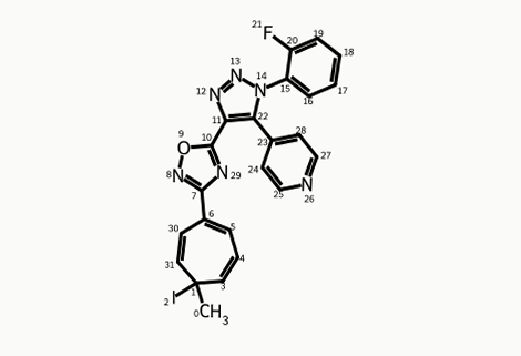 CC1(I)C=CC=C(c2noc(-c3nnn(-c4ccccc4F)c3-c3ccncc3)n2)C=C1